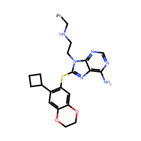 CC(C)CNCCn1c(Sc2cc3c(cc2C2CCC2)OCCO3)nc2c(N)ncnc21